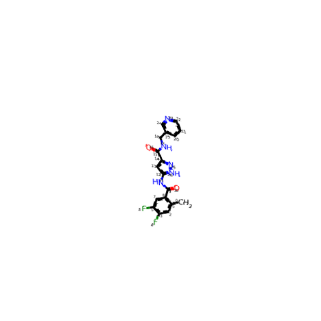 Cc1cc(F)c(F)cc1C(=O)Nc1cc(C(=O)NCc2cccnc2)n[nH]1